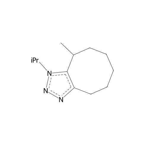 CC1CCCCCc2nnn(C(C)C)c21